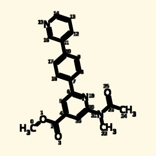 COC(=O)c1cc(-c2ccc(-c3cccnc3)cc2)nc(N(C)C(C)=O)c1